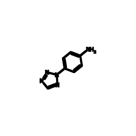 Nc1ccc(-n2ncnn2)cc1